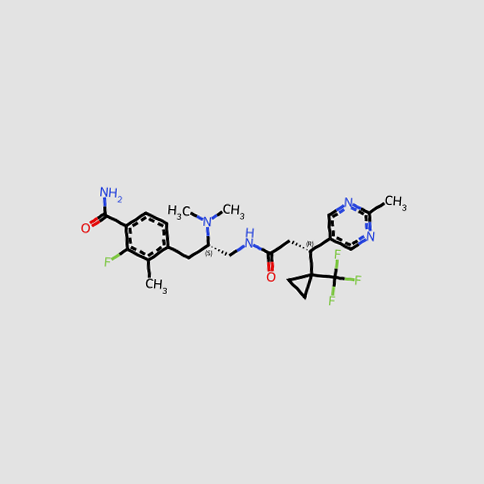 Cc1ncc([C@@H](CC(=O)NC[C@H](Cc2ccc(C(N)=O)c(F)c2C)N(C)C)C2(C(F)(F)F)CC2)cn1